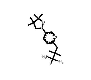 CC(C)(Cc1ccc(B2CC(C)(C)C(C)(C)O2)cn1)C(F)(P)P